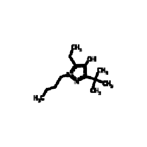 CCCCn1nc(C(C)(C)C)c(O)c1CC